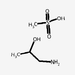 CC(O)CN.CS(=O)(=O)O